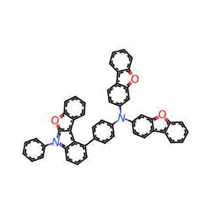 c1ccc(-n2c3cccc(-c4ccc(N(c5ccc6c(c5)oc5ccccc56)c5ccc6c(c5)oc5ccccc56)cc4)c3c3c4ccccc4oc32)cc1